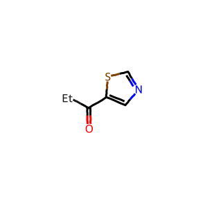 CCC(=O)c1cncs1